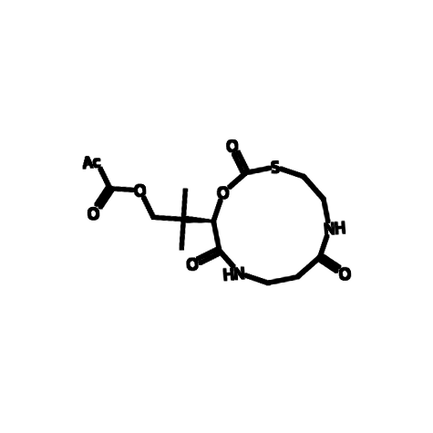 CC(=O)C(=O)OCC(C)(C)[C@H]1OC(=O)SCCNC(=O)CCNC1=O